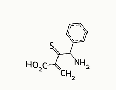 C=C(C(=O)O)C(=S)C(N)c1ccccc1